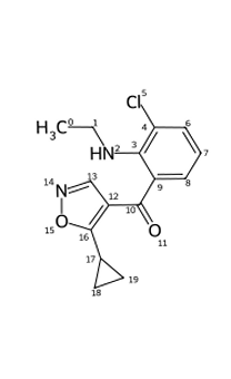 CCNc1c(Cl)cccc1C(=O)c1cnoc1C1CC1